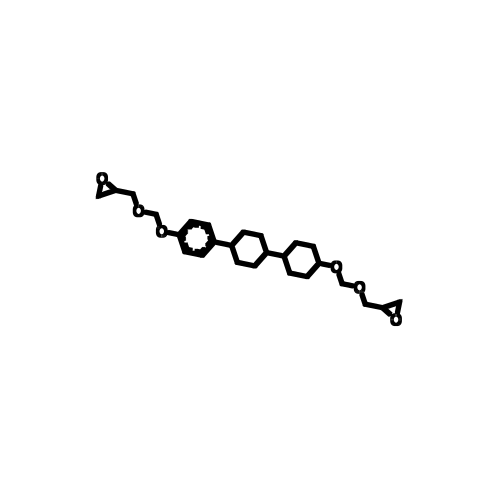 c1cc(C2CCC(C3CCC(OCOCC4CO4)CC3)CC2)ccc1OCOCC1CO1